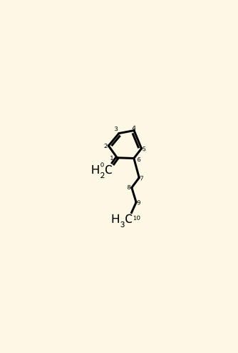 C=C1C=CC=CC1CCCC